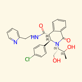 C[C@H](O)[C@H](CO)N1C(=O)c2ccccc2[C@@H](C(=O)NCCc2ccccn2)[C@@H]1c1ccc(Cl)cc1